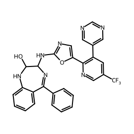 OC1Nc2ccccc2C(c2ccccc2)=NC1Nc1ncc(-c2ncc(C(F)(F)F)cc2-c2cncnc2)o1